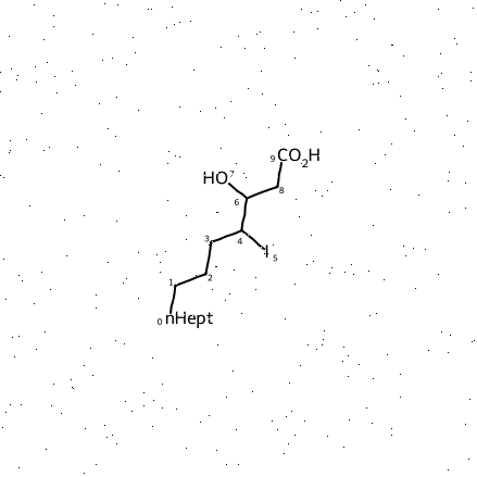 CCCCCCCCCCC(I)C(O)CC(=O)O